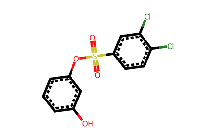 O=S(=O)(Oc1cccc(O)c1)c1ccc(Cl)c(Cl)c1